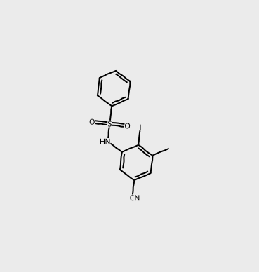 Cc1cc(C#N)cc(NS(=O)(=O)c2ccccc2)c1I